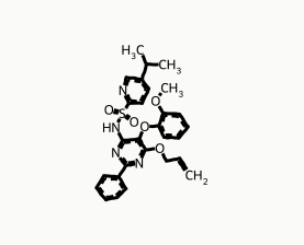 C=CCOc1nc(-c2ccccc2)nc(NS(=O)(=O)c2ccc(C(C)C)cn2)c1Oc1ccccc1OC